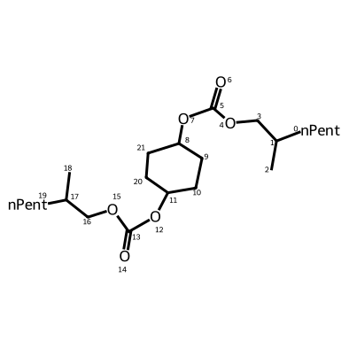 CCCCCC(C)COC(=O)OC1CCC(OC(=O)OCC(C)CCCCC)CC1